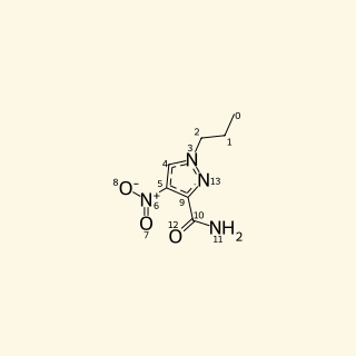 CCCn1cc([N+](=O)[O-])c(C(N)=O)n1